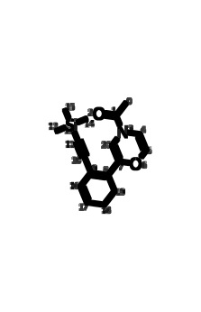 CC(=O)N1C=COC(C2=C(C#C[Si](C)(C)C)C=CCC2)=C1